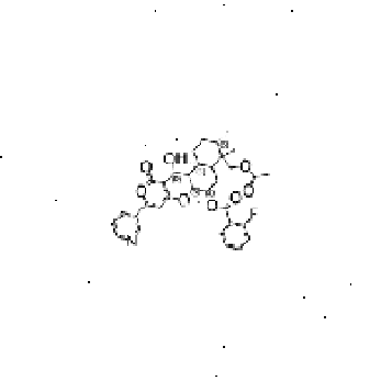 CC(=O)OCC1(C)C2C[C@H](OC(=O)c3ccccc3F)[C@@]3(C)Oc4cc(-c5cccnc5)oc(=O)c4[C@H](O)C3[C@@]2(C)CC[C@@H]1C